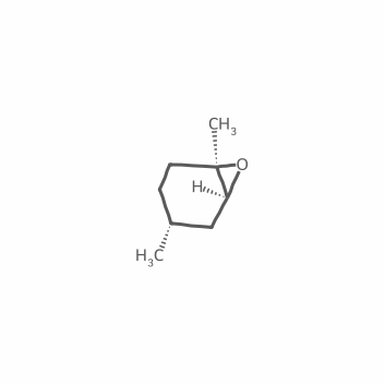 C[C@@H]1CC[C@@]2(C)O[C@H]2C1